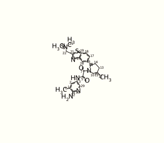 Cc1cc(NC(=O)C(=O)N2C[C@H](C)CC[C@H]2c2ccc3sc(CN(C)C)nc3c2)cnc1N